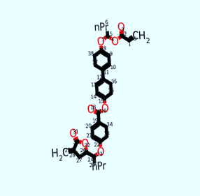 C=CC(=O)OC(CCC)OC1=CC=C(C2=CC=C(OC(=O)C3=CC=C(OC(CCC)C4CC(=C)C(=O)O4)CC3)CC2)CC1